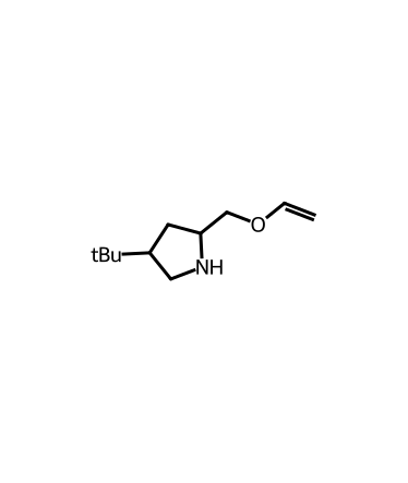 C=COCC1CC(C(C)(C)C)CN1